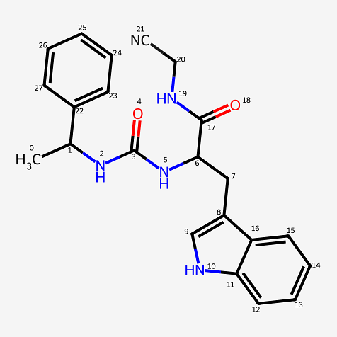 CC(NC(=O)NC(Cc1c[nH]c2ccccc12)C(=O)NCC#N)c1ccccc1